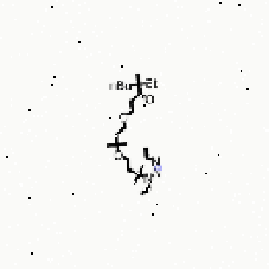 C=C/N=N\N(C=C)C(C)(C)CCOC(C)(C)CCOCCC(=O)C(C)(CC)CCCC